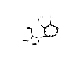 COc1c(Br)cccc1N1N=NN(C)C1C=O